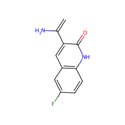 C=C(N)c1cc2cc(F)ccc2[nH]c1=O